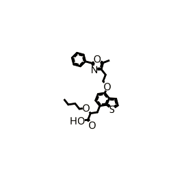 CCCCOC(Cc1ccc(OCCc2nc(-c3ccccc3)oc2C)c2ccsc12)C(=O)O